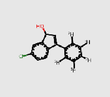 [2H]c1c([2H])c([2H])c(C2=CC(O)c3cc(Cl)ccc32)c([2H])c1[2H]